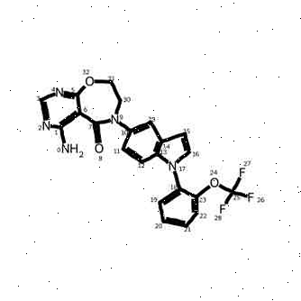 Nc1ncnc2c1C(=O)N(c1ccc3c(ccn3-c3ccccc3OC(F)(F)F)c1)CCO2